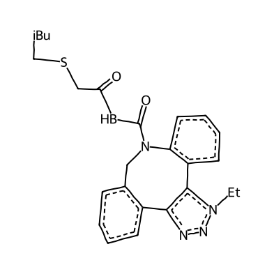 CCC(C)CSCC(=O)BC(=O)N1Cc2ccccc2-c2nnn(CC)c2-c2ccccc21